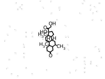 CC1C[C@@H]2C(=CC[C@@]3(C)[C@H]2CC[C@]3(O)C(=O)CO)[C@@]2(C)CCC(=O)CC12